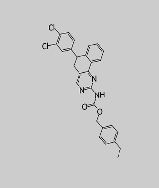 CCc1ccc(COC(=O)Nc2ncc3c(n2)-c2ccccc2C(c2ccc(Cl)c(Cl)c2)C3)cc1